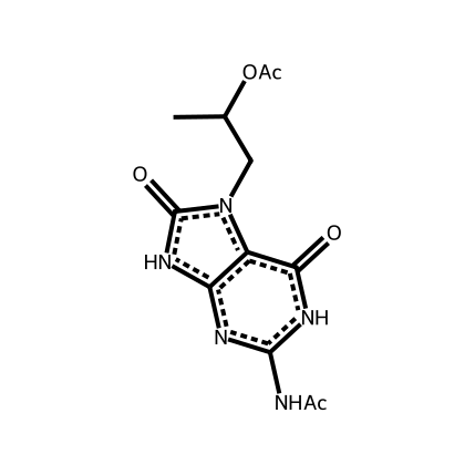 CC(=O)Nc1nc2[nH]c(=O)n(CC(C)OC(C)=O)c2c(=O)[nH]1